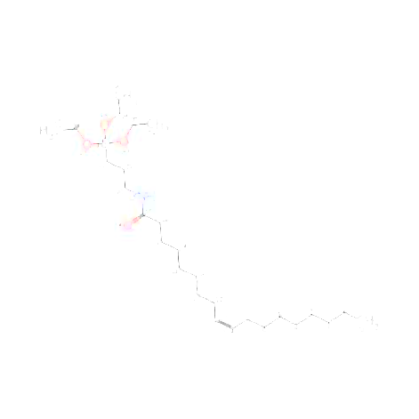 CCCCCCCC/C=C\CCCCCCCC(=O)NCCC[Si](OCC)(OCC)OCC